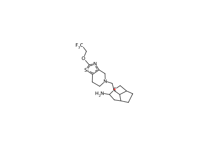 NC1CCC2CCC(C1)C2CCN1CCc2sc(OCC(F)(F)F)nc2C1